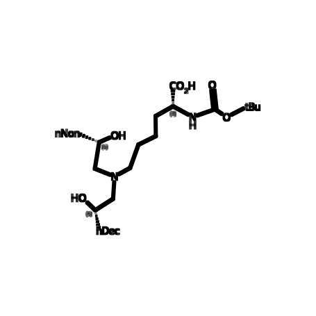 CCCCCCCCCC[C@H](O)CN(CCCC[C@@H](NC(=O)OC(C)(C)C)C(=O)O)C[C@@H](O)CCCCCCCCC